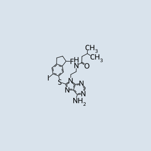 CC(C)CC(=O)NCCn1c(Sc2cc3c(cc2I)CCC3F)nc2c(N)ncnc21